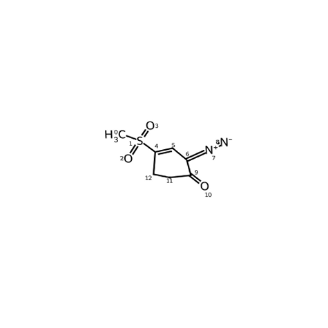 CS(=O)(=O)C1=CC(=[N+]=[N-])C(=O)CC1